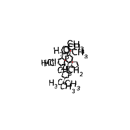 Cl.Cl.[CH2]=[Zr]([C]1=CC=CC1)([c]1ccc(C(C)(C)C)cc1)([c]1ccc(C(C)(C)C)cc1)[c]1c(C)ccc2c1Cc1cc(C)ccc1-2